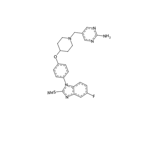 CSc1nc2cc(F)ccc2n1-c1ccc(OC2CCN(Cc3cnc(N)nc3)CC2)cc1